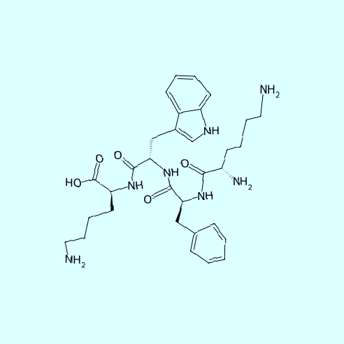 NCCCC[C@H](NC(=O)[C@H](Cc1c[nH]c2ccccc12)NC(=O)[C@H](Cc1ccccc1)NC(=O)[C@@H](N)CCCCN)C(=O)O